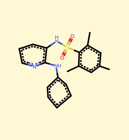 Cc1cc(C)c(S(=O)(=O)Nc2cccnc2Nc2ccccc2)c(C)c1